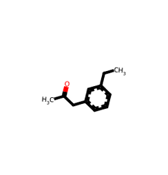 CCc1cccc(CC(C)=O)c1